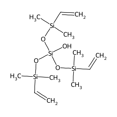 C=C[Si](C)(C)O[Si](O)(O[Si](C)(C)C=C)O[Si](C)(C)C=C